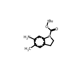 Cc1cc2c(cc1N)N(C(=O)OC(C)(C)C)CC2